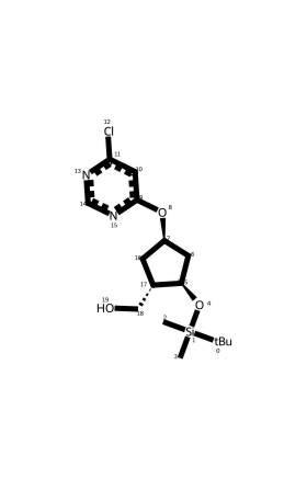 CC(C)(C)[Si](C)(C)O[C@@H]1C[C@H](Oc2cc(Cl)ncn2)C[C@H]1CO